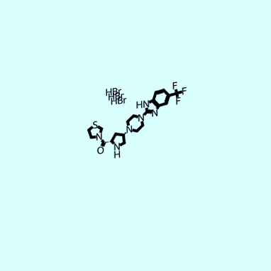 Br.Br.Br.O=C([C@@H]1C[C@H](N2CCN(c3nc4cc(C(F)(F)F)ccc4[nH]3)CC2)CN1)N1CCSC1